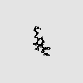 C=CCON1CC[C@@H](C(=O)OC(C)(C)C)N(CC)C1=O